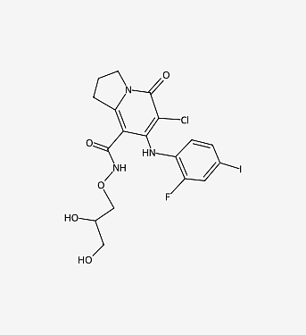 O=C(NOCC(O)CO)c1c(Nc2ccc(I)cc2F)c(Cl)c(=O)n2c1CCC2